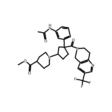 COC(=O)C1CCN(C2CCC(C(=O)N3CCc4ncc(C(F)(F)F)cc4C3)(c3cccc(NC(C)=O)c3)C2)CC1